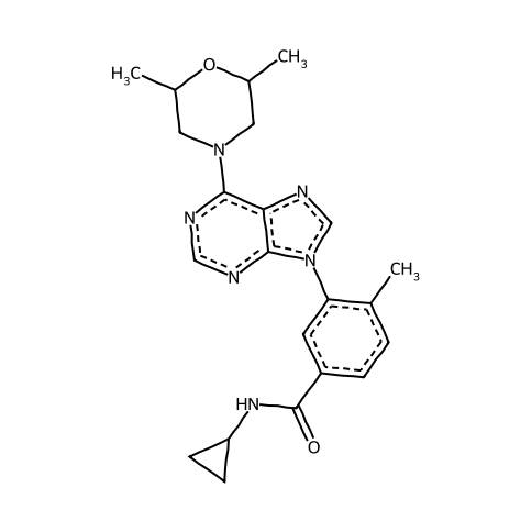 Cc1ccc(C(=O)NC2CC2)cc1-n1cnc2c(N3CC(C)OC(C)C3)ncnc21